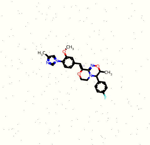 COc1cc(/C=C2\OCCN3C2=NOC(C)C3c2ccc(F)cc2)ccc1-n1cnc(C)c1